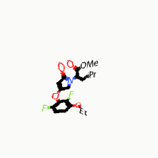 CCOc1ccc(F)c(OC2=CC(=O)N(C(CC(C)C)C(=O)OC)C2)c1F